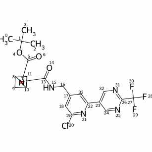 CC(C)(C)OC(=O)N1C2CC(C2)C1C(=O)NCc1cc(Cl)nc(-c2cnc(C(F)(F)F)nc2)c1